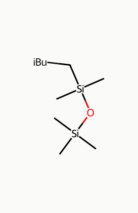 CCC(C)C[Si](C)(C)O[Si](C)(C)C